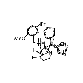 COc1ccc(C(C)C)cc1CN[C@H]1[C@H]2CCN([C@@H](C(=O)N(C)C)C2)[C@H]1C(c1ccccc1)c1ccccc1